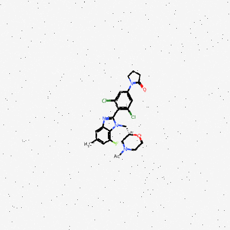 CC(=O)N1CCO[C@@H](Cn2c(-c3c(Cl)cc(N4CCCC4=O)cc3Cl)nc3cc(C)cc(F)c32)C1